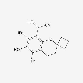 CC(C)c1c(O)c(C(C)C)c(C(O)C#N)c2c1CCC1(CCC1)O2